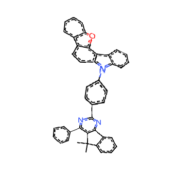 CC1(C)c2ccccc2-c2nc(-c3ccc(-n4c5ccccc5c5c6oc7ccccc7c6ccc54)cc3)nc(-c3ccccc3)c21